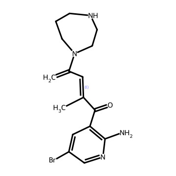 C=C(/C=C(\C)C(=O)c1cc(Br)cnc1N)N1CCCNCC1